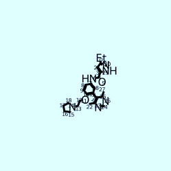 CCc1cc(C(=O)Nc2ccc(OCCN3CCCC3)c(-c3c(C)ncnc3C)c2)[nH]n1